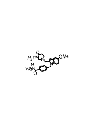 COc1ccc2c(c1)cc(CN1CCC(=O)N(C)C1)n2Cc1ccc(C(=O)NO)cc1